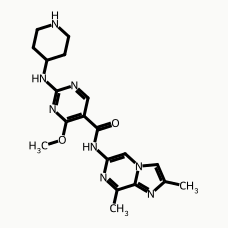 COc1nc(NC2CCNCC2)ncc1C(=O)Nc1cn2cc(C)nc2c(C)n1